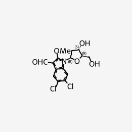 COc1c(C=O)c2cc(Cl)c(Cl)cc2n1[C@H]1C[C@H](O)[C@@H](CO)O1